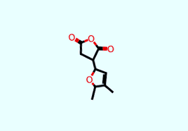 CC1=CC(C2CC(=O)OC2=O)OC1C